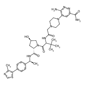 Cc1ncsc1-c1ccc([C@H](C)NC(=O)[C@@H]2C[C@@H](O)CN2C(=O)C(NC(=O)CN2CCN(c3cc(C(N)=O)nnc3N)CC2)C(C)(C)C)cc1